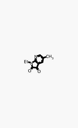 CCN1C(=O)C(=O)c2cc(C)cnc21